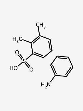 Cc1cccc(S(=O)(=O)O)c1C.Nc1ccccc1